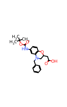 CC(C)(C)OC(=O)Nc1ccc2c(c1)N(Cc1ccccc1)CC(CC(=O)O)O2